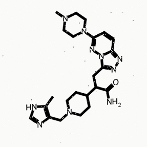 Cc1[nH]cnc1CN1CCC(C(Cc2nnc3ccc(N4CCN(C)CC4)nn23)C(N)=O)CC1